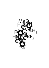 COc1ncc(C)c(NC(=O)c2cc(F)c(NC(=O)Oc3ccccc3)cc2OC(C)C(F)(F)F)c1C